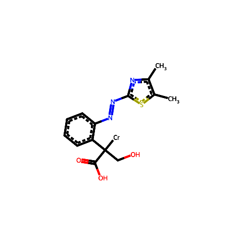 Cc1nc(N=Nc2ccccc2[C]([Cr])(CO)C(=O)O)sc1C